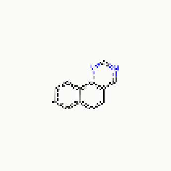 [c]1ccc2c(c1)ccc1cncnc12